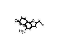 Cc1cc2c(c3ccc(=O)[nH]c13)OC(CI)C2